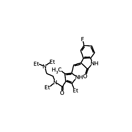 CCc1[nH]c(/C=C2\C(=O)Nc3ccc(F)cc32)c(C)c1C(=O)N(CC)CCN(CC)CC